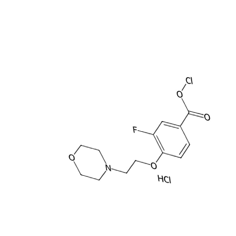 Cl.O=C(OCl)c1ccc(OCCN2CCOCC2)c(F)c1